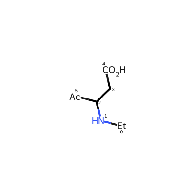 CCNC(CC(=O)O)C(C)=O